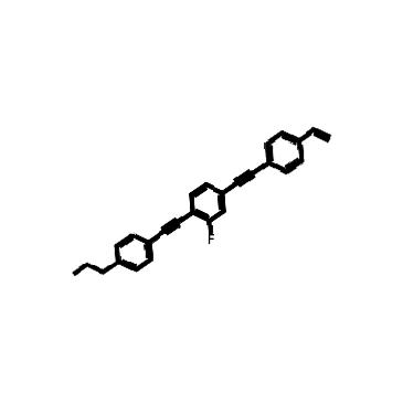 C=Cc1ccc(C#Cc2ccc(C#Cc3ccc(CCC)cc3)c(F)c2)cc1